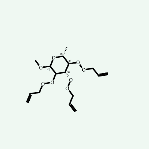 C=CCOOC1[C@@H](OC)O[C@H](C)[C@@H](OOCC=C)[C@@H]1OOCC=C